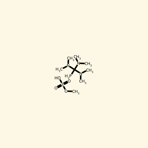 CN(C)C(P)(N(C)C)N(C)C.COS(=O)(=O)O